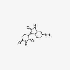 Nc1ccc2c(c1)[nH]c(=O)n2C1CCC(=O)NC1=O